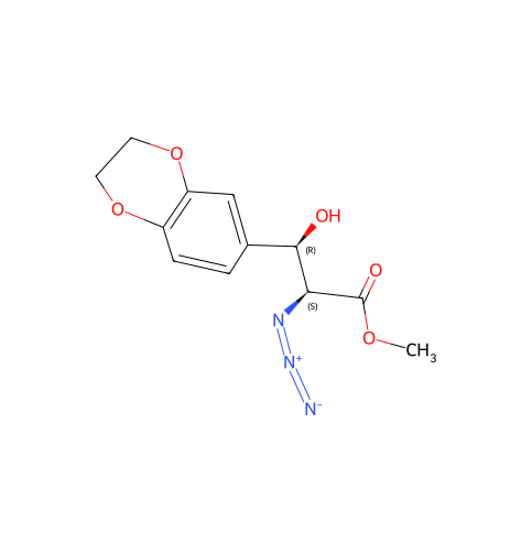 COC(=O)[C@@H](N=[N+]=[N-])[C@H](O)c1ccc2c(c1)OCCO2